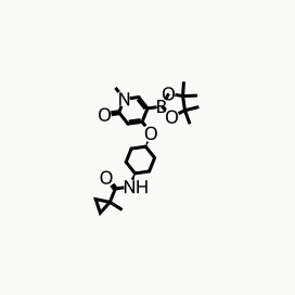 Cn1cc(B2OC(C)(C)C(C)(C)O2)c(O[C@H]2CC[C@H](NC(=O)C3(C)CC3)CC2)cc1=O